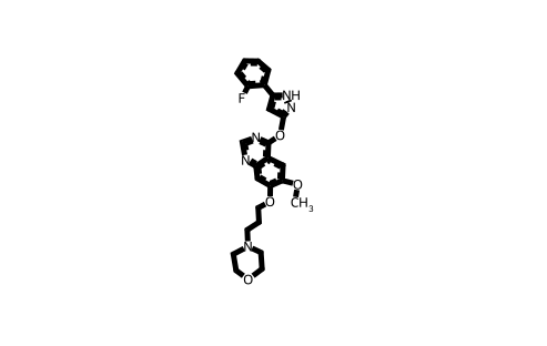 COc1cc2c(Oc3cc(-c4ccccc4F)[nH]n3)ncnc2cc1OCCCN1CCOCC1